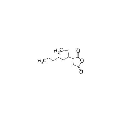 CCCCCC(CC)C1CC(=O)OC1=O